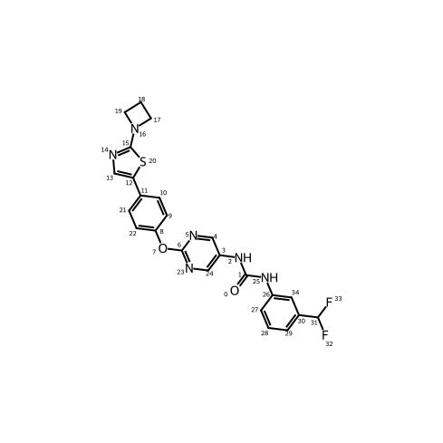 O=C(Nc1cnc(Oc2ccc(-c3cnc(N4CCC4)s3)cc2)nc1)Nc1cccc(C(F)F)c1